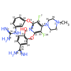 CN1CCN(c2c(F)c(Oc3cccc(NC(=N)N)c3)nc(Oc3cc(C(=N)N)ccc3O)c2F)CC1